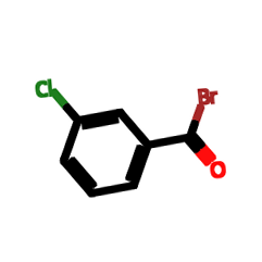 O=C(Br)c1cccc(Cl)c1